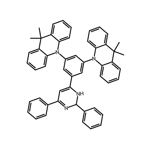 CC1(C)c2ccccc2N(c2cc(C3=CC(c4ccccc4)=NC(c4ccccc4)N3)cc(N3c4ccccc4C(C)(C)c4ccccc43)c2)c2ccccc21